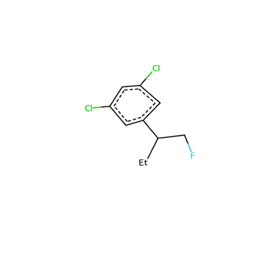 CCC(CF)c1cc(Cl)cc(Cl)c1